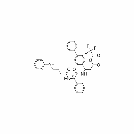 O=C(CCCNc1ccccn1)N[C@@H](C(=O)NC(CC(=O)OC(=O)C(F)(F)F)c1ccc(-c2ccccc2)cc1)c1ccccc1